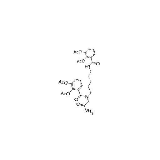 CC(=O)Oc1cccc(C(=O)NCCCCCN(CC(N)=O)C(=O)c2cccc(OC(C)=O)c2OC(C)=O)c1OC(C)=O